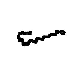 C[CH]OCCCCCCCC/C=C\C/C=C\CCCCC